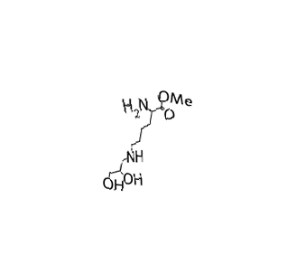 COC(=O)C(N)CCCCNCC(O)CO